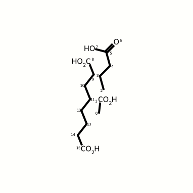 CC(=O)O.CCCC(=O)O.O=C(O)CCCCCCC(=O)O